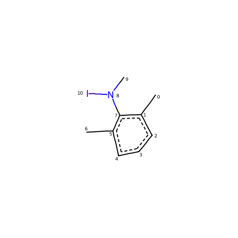 Cc1cccc(C)c1N(C)I